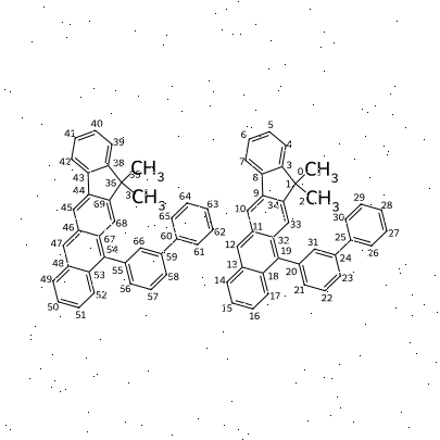 CC1(C)c2ccccc2-c2cc3cc4ccccc4c(-c4cccc(-c5ccccc5)c4)c3cc21.CC1(C)c2ccccc2-c2cc3cc4ccccc4c(-c4cccc(-c5ccccc5)c4)c3cc21